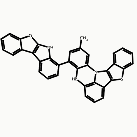 Cc1cc(-c2cccc3c2[nH]c2oc4ccccc4c23)c2c(c1)-n1c3c(cccc3c3sc4ccccc4c31)B2